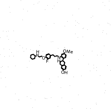 COc1ccc(C2CCc3cc(O)ccc3C2)c(NCCCc2ccc(OCCNC3CCCCC3)c(F)c2)c1